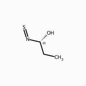 CC[C@@H](O)N=S